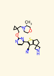 C[C@@H]1COCCN1CC1(COc2nccc(-c3sc4c(c3C#N)C3(CC4)CNC3)n2)CC1